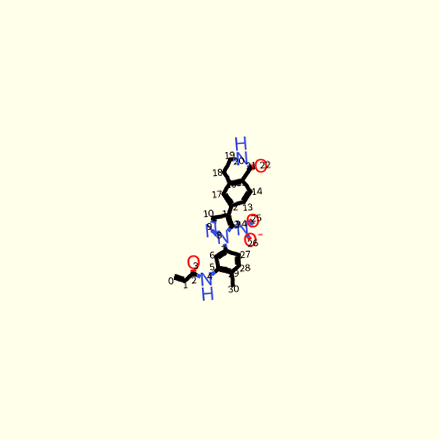 C=CC(=O)Nc1cc(-n2ncc(-c3ccc4c(c3)CCNC4=O)c2[N+](=O)[O-])ccc1C